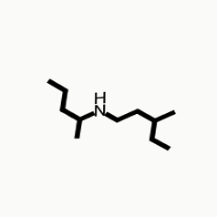 CCCC(C)NCCC(C)CC